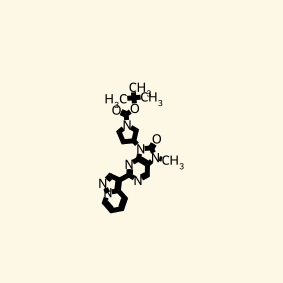 Cn1c(=O)n(C2CCN(C(=O)OC(C)(C)C)C2)c2nc(-c3cnn4ccccc34)ncc21